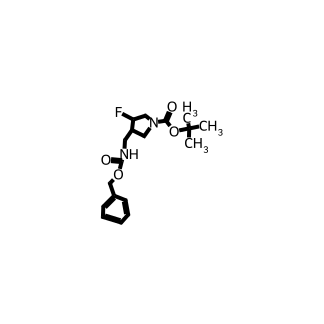 CC(C)(C)OC(=O)N1CC(F)C(CNC(=O)OCc2ccccc2)C1